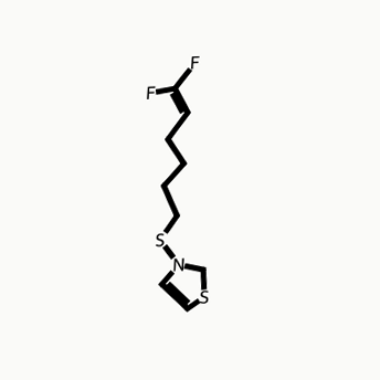 FC(F)=CCCCCSN1C=CSC1